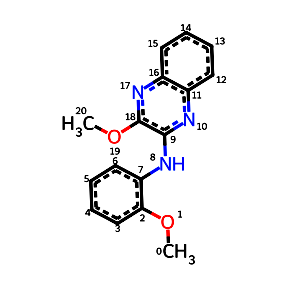 COc1ccccc1Nc1nc2ccccc2nc1OC